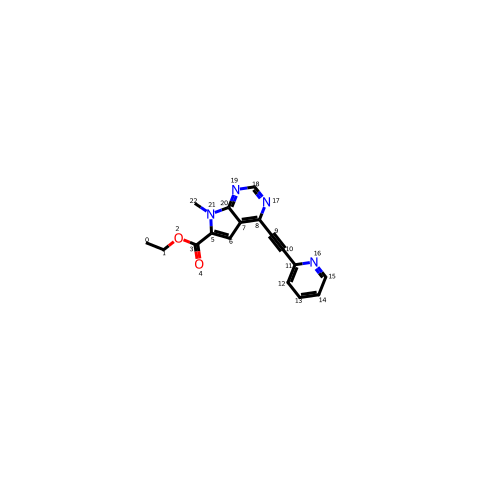 CCOC(=O)c1cc2c(C#Cc3ccccn3)ncnc2n1C